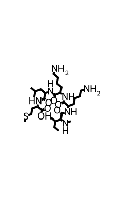 CCC(C)C(NC)C(=O)NC(CCCCN)C(=O)NC(CCCCN)C(=O)NC(CC(C)C)C(=O)NC(CCSC)C(=O)O